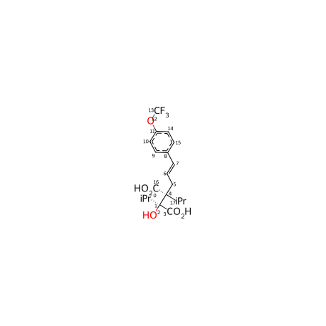 CC(C)[C@@](O)(C(=O)O)[C@](CC=Cc1ccc(OC(F)(F)F)cc1)(C(=O)O)C(C)C